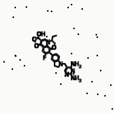 CCC1COc2c(-c3ccc4c(c3)CCN4Cc3cnc(N)nc3N)c(F)cc3c(=O)c(C(=O)O)cn1c23